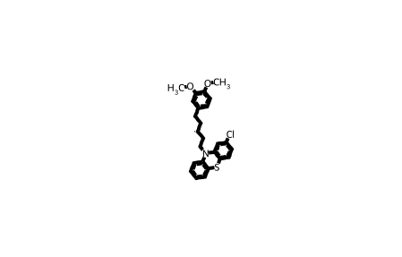 COc1ccc(CC[CH]CCN2c3ccccc3Sc3ccc(Cl)cc32)cc1OC